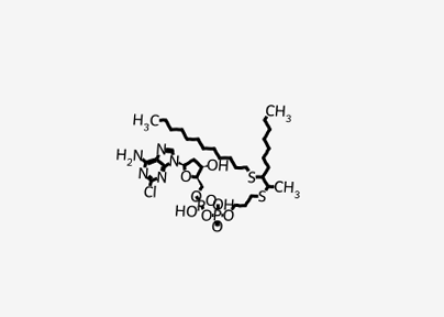 CCCCCCCCCCCCSC(CCCCCCC)C(C)SCCCOP(=O)(O)OP(=O)(O)OC[C@H]1O[C@@H](n2cnc3c(N)nc(Cl)nc32)C[C@@H]1O